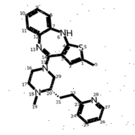 Cc1cc2c(s1)Nc1ccccc1N=C2N1CCN(C)[C@@H](CCc2ccccn2)C1